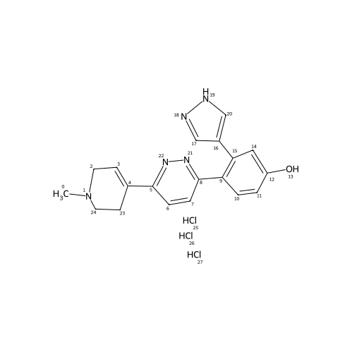 CN1CC=C(c2ccc(-c3ccc(O)cc3-c3cn[nH]c3)nn2)CC1.Cl.Cl.Cl